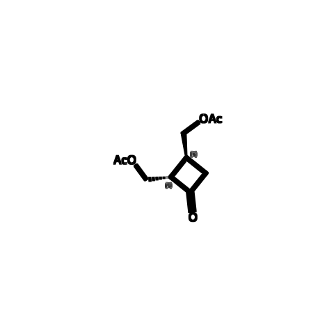 CC(=O)OC[C@H]1CC(=O)[C@@H]1COC(C)=O